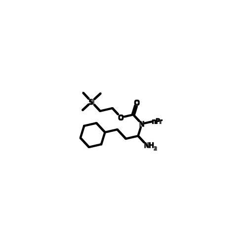 CCCN(C(=O)OCC[Si](C)(C)C)C(N)CCC1CCCCC1